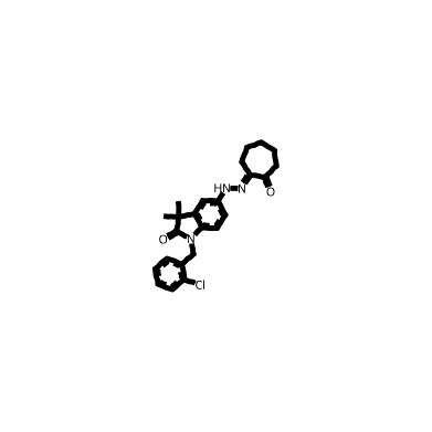 CC1(C)C(=O)N(Cc2ccccc2Cl)c2ccc(N/N=C3\CCCCCC3=O)cc21